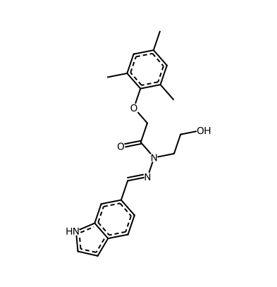 Cc1cc(C)c(OCC(=O)N(CCO)/N=C/c2ccc3cc[nH]c3c2)c(C)c1